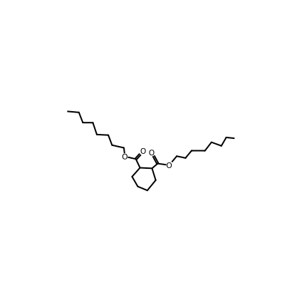 CCCCCCCCOC(=O)C1CCCCC1C(=O)OCCCCCCCC